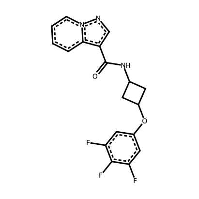 O=C(NC1CC(Oc2cc(F)c(F)c(F)c2)C1)c1cnn2ccccc12